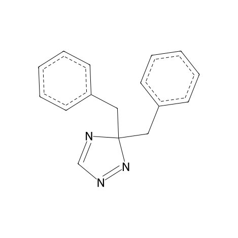 C1=NC(Cc2ccccc2)(Cc2ccccc2)N=N1